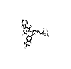 CN(C)CCn1cc(NC(=O)c2cnn3cccnc23)c(-c2cc3c(cc2OC(F)F)NC(=O)CS3)n1